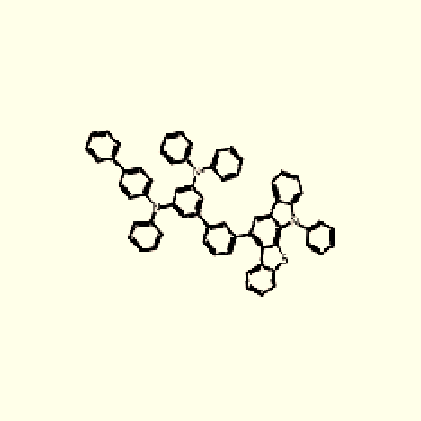 c1ccc(-c2ccc(N(c3ccccc3)c3cc(-c4cccc(-c5cc6c7ccccc7n(-c7ccccc7)c6c6sc7ccccc7c56)c4)cc(N(c4ccccc4)c4ccccc4)c3)cc2)cc1